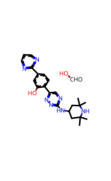 CC1(C)CC(Nc2ncc(-c3ccc(-c4ncccn4)cc3O)nn2)CC(C)(C)N1.O=CO